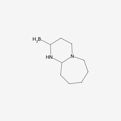 BC1CCN2CCCCCC2N1